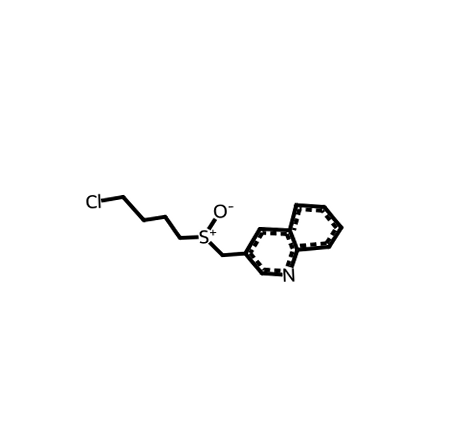 [O-][S+](CCCCCl)Cc1cnc2ccccc2c1